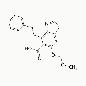 COCOc1cc2c(c(CSc3ccccc3)c1C(=O)O)N=CC2